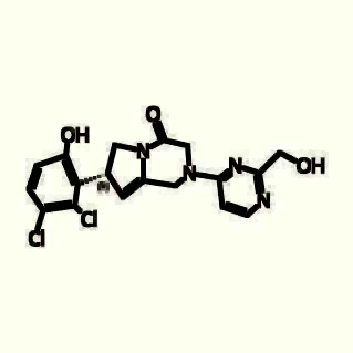 O=C1CN(c2ccnc(CO)n2)CC2=C[C@H](c3c(O)ccc(Cl)c3Cl)CN12